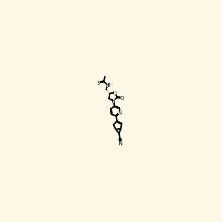 CC(=S)NC[C@H]1CN(c2ccc(C3=CC4C(C#N)C4C3)nc2)C(=O)O1